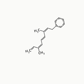 C=CC(C)=CC=CC(C)=CCc1ccccc1